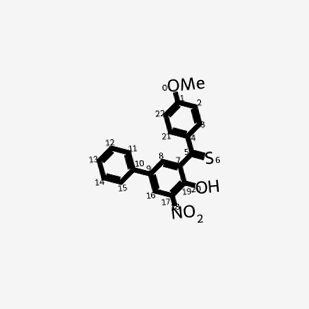 COc1ccc(C(=S)c2cc(-c3ccccc3)cc([N+](=O)[O-])c2O)cc1